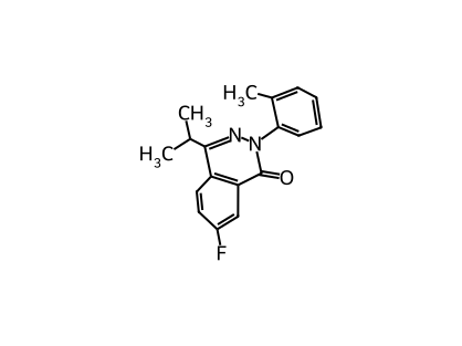 Cc1ccccc1-n1nc(C(C)C)c2ccc(F)cc2c1=O